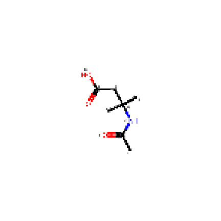 CC(=O)NC(C)(C)CC(=O)O